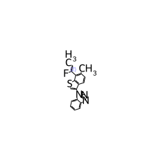 C/C=C(\F)c1c(C)ccc2c(-n3nnc4ccccc43)csc12